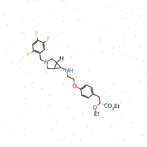 CCOC(=O)[C@@H](Cc1ccc(OCCN[C@H]2C3CN(Cc4cc(F)c(F)cc4F)C[C@@H]32)cc1)OCC